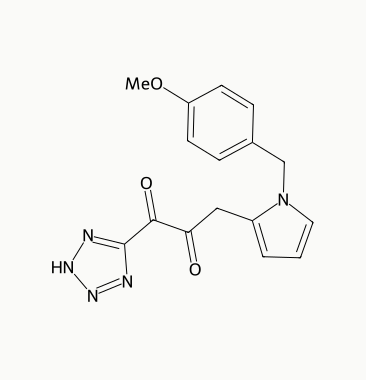 COc1ccc(Cn2cccc2CC(=O)C(=O)c2nn[nH]n2)cc1